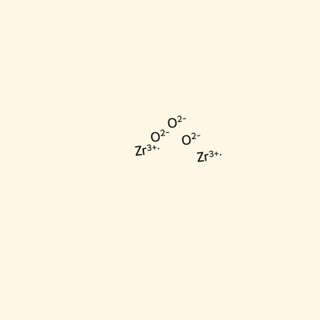 [O-2].[O-2].[O-2].[Zr+3].[Zr+3]